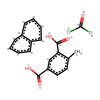 Cc1ccc(C(=O)O)cc1C(=O)O.O=C(Cl)Cl.c1ccc2ccccc2c1